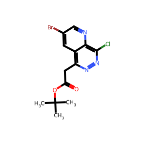 CC(C)(C)OC(=O)Cc1nnc(Cl)c2ncc(Br)cc12